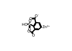 O=C([O-])c1cccc(C(=O)[O-])c1S(=O)(=O)O.[Zn+2]